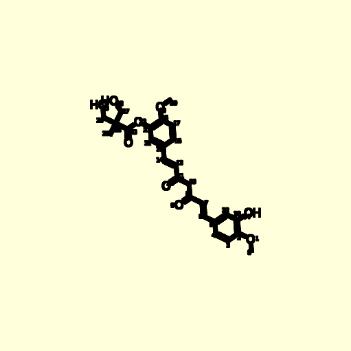 COc1ccc(/C=C/C(=O)CC(=O)/C=C/c2ccc(OC)c(OC(=O)C(C)(CO)CO)c2)cc1O